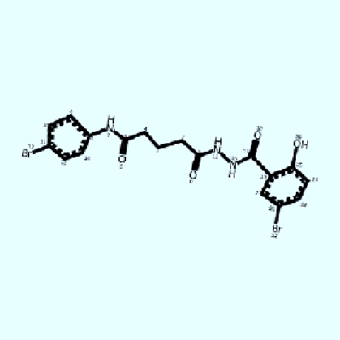 O=C(CCCC(=O)Nc1ccc(Br)cc1)NNC(=O)c1cc(Br)ccc1O